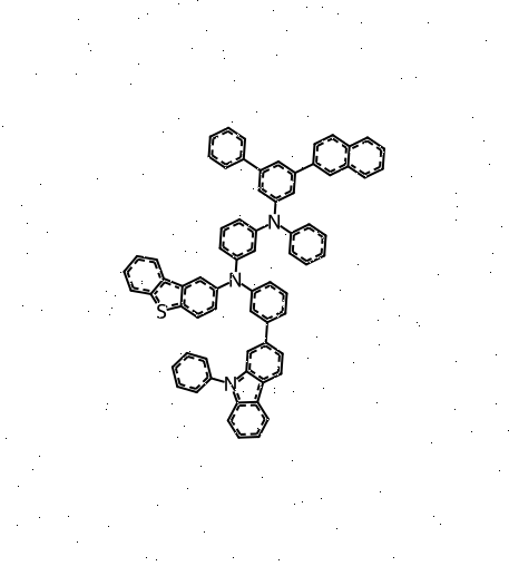 c1ccc(-c2cc(-c3ccc4ccccc4c3)cc(N(c3ccccc3)c3cccc(N(c4cccc(-c5ccc6c7ccccc7n(-c7ccccc7)c6c5)c4)c4ccc5sc6ccccc6c5c4)c3)c2)cc1